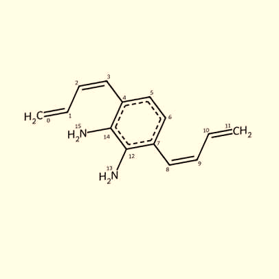 C=C/C=C\c1ccc(/C=C\C=C)c(N)c1N